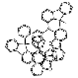 CC1(C)c2ccccc2-c2cccc(N(c3cccc(N(c4cccc5c4C(c4ccccc4)(c4ccccc4)c4ccccc4-5)c4cccc5oc6ccccc6c45)c3)c3cccc4c3oc3c(-c5ccccc5)cccc34)c21